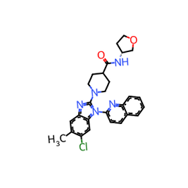 Cc1cc2nc(N3CCC(C(=O)N[C@@H]4CCOC4)CC3)n(-c3ccc4ccccc4n3)c2cc1Cl